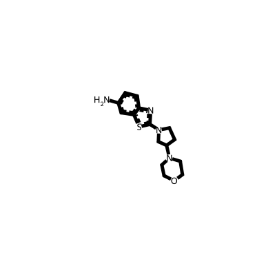 Nc1ccc2nc(N3CCC(N4CCOCC4)C3)sc2c1